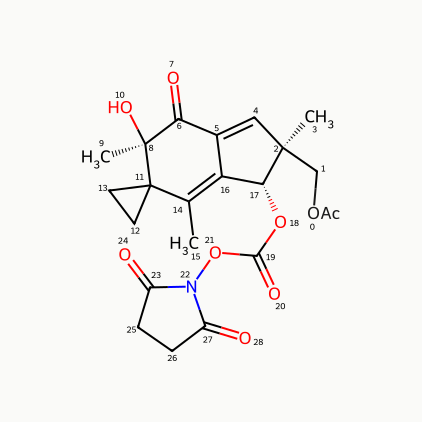 CC(=O)OC[C@]1(C)C=C2C(=O)[C@](C)(O)C3(CC3)C(C)=C2[C@H]1OC(=O)ON1C(=O)CCC1=O